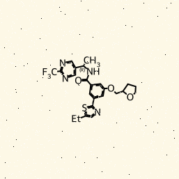 CCc1cnc(-c2cc(OCC3CCCO3)cc(C(=O)N[C@H](C)c3cnc(C(F)(F)F)nc3)c2)s1